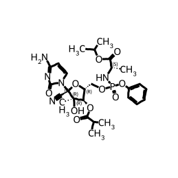 CC(C)OC(=O)[C@H](C)NP(=O)(OC[C@H]1O[C@@](C#N)(n2ccc(N)nc2=O)[C@](C)(O)[C@@H]1OC(=O)C(C)C)Oc1ccccc1